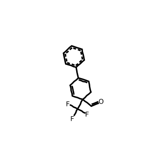 O=CC1(C(F)(F)F)C=CC(c2ccccc2)=CC1